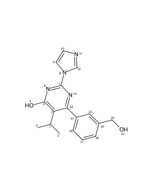 CC(C)c1c(O)nc(-n2ccnc2)nc1-c1cccc(CO)c1